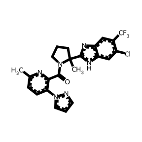 Cc1ccc(-n2cccn2)c(C(=O)N2CCCC2(C)c2nc3cc(C(F)(F)F)c(Cl)cc3[nH]2)n1